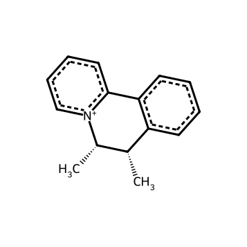 C[C@H]1c2ccccc2-c2cccc[n+]2[C@H]1C